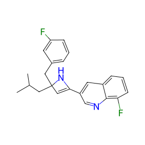 CC(C)CC1(Cc2cccc(F)c2)C=C(c2cnc3c(F)cccc3c2)N1